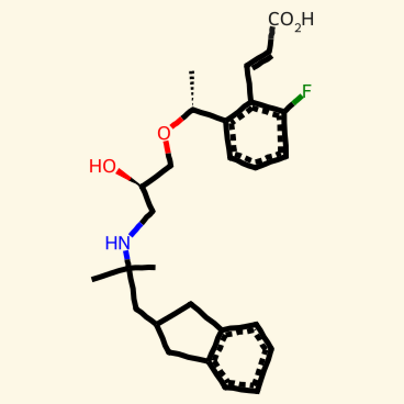 C[C@@H](OC[C@H](O)CNC(C)(C)CC1Cc2ccccc2C1)c1cccc(F)c1/C=C/C(=O)O